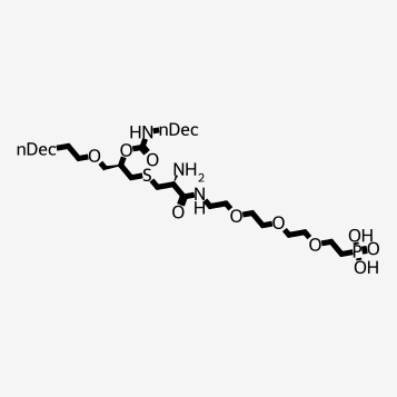 CCCCCCCCCCCCOC[C@H](CSC[C@H](N)C(=O)NCCOCCOCCOCCP(=O)(O)O)OC(=O)NCCCCCCCCCC